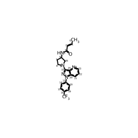 C/C=C/C(=O)NC1CCN(c2nn(-c3ccc(C(F)(F)F)cc3)c3cccnc23)C1